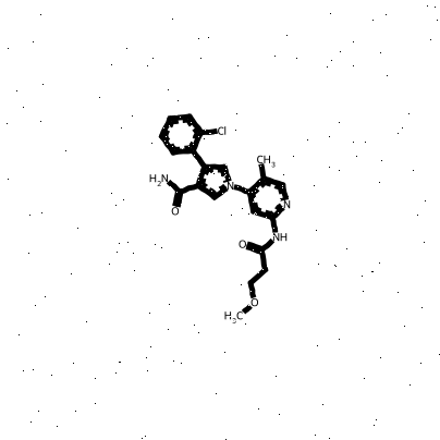 COCCC(=O)Nc1cc(-n2cc(C(N)=O)c(-c3ccccc3Cl)c2)c(C)cn1